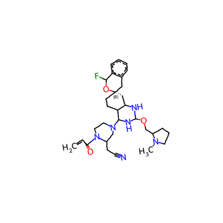 C=CC(=O)N1CCN(C2NC(OCC3CCCN3C)NC3C[C@@]4(CCC32)Cc2ccccc2C(F)O4)CC1CC#N